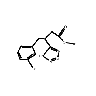 CC(C)(C)OC(=O)CC(Cc1cccc(Br)c1)c1nnn[nH]1